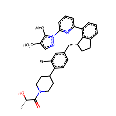 CCc1cc(C[C@H]2CCc3cccc(-c4cccc(-n5ncc(C(=O)O)c5OC)n4)c32)ccc1C1CCN(C(=O)[C@H](C)O)CC1